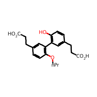 CCCOc1ccc(CCC(=O)O)cc1-c1cc(CCC(=O)O)ccc1O